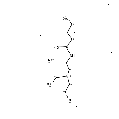 CCCCCCCCCCCCCC(=O)NCCN(CCO)CC(=O)[O-].[Na+]